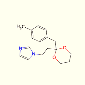 Cc1ccc(CC2(CCn3ccnc3)OCCCO2)cc1